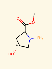 COC(=O)C1C[C@@H](O)CN1P